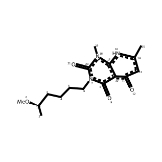 CO[C@H](C)CCCCn1c(=O)c2c(=O)cc(C)[nH]c2n(C)c1=O